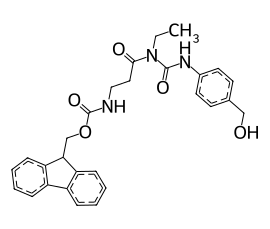 CCN(C(=O)CCNC(=O)OCC1c2ccccc2-c2ccccc21)C(=O)Nc1ccc(CO)cc1